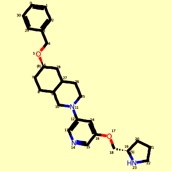 c1ccc(CO[C@@H]2CCC3CN(c4cncc(OC[C@@H]5CCCN5)c4)CCC3C2)cc1